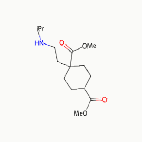 COC(=O)C1CCC(CCNC(C)C)(C(=O)OC)CC1